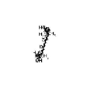 CC(C)(CCCC(=O)CCCC(=O)CCCC(C)(C)c1cc(O)no1)c1cc(O)no1